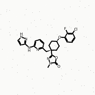 Cn1nc([C@]2(Cc3cccc(Nc4cc[nH]n4)n3)CC[C@@H](Oc3cccc(Cl)c3F)CC2)oc1=O